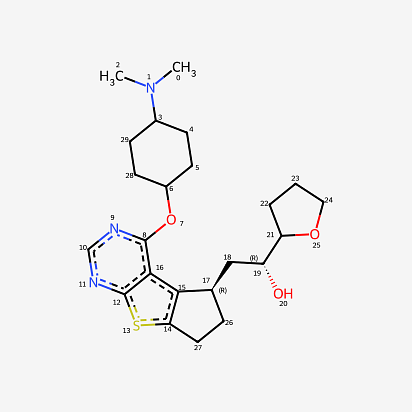 CN(C)C1CCC(Oc2ncnc3sc4c(c23)[C@@H](C[C@@H](O)C2CCCO2)CC4)CC1